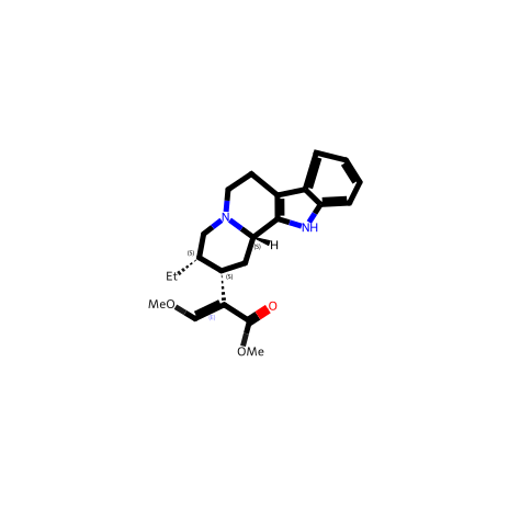 CC[C@@H]1CN2CCc3c([nH]c4ccccc34)[C@@H]2C[C@@H]1/C(=C\OC)C(=O)OC